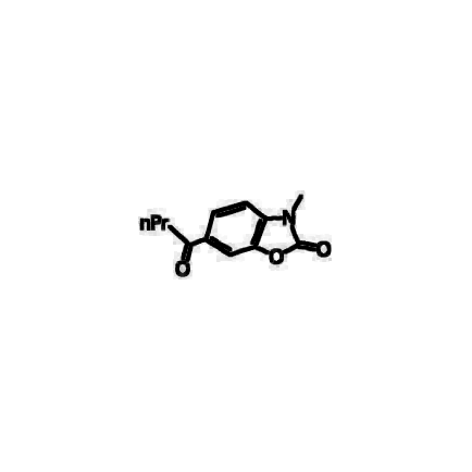 CCCC(=O)c1ccc2c(c1)oc(=O)n2C